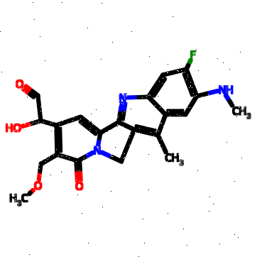 CNc1cc2c(C)c3c(nc2cc1F)-c1cc(C(O)C=O)c(COC)c(=O)n1C3